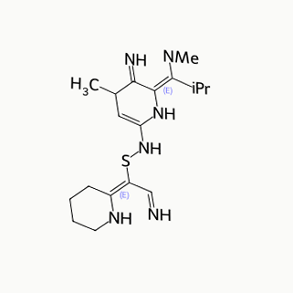 CN/C(=C1/NC(NS/C(C=N)=C2\CCCCN2)=CC(C)C1=N)C(C)C